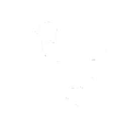 Clc1ccc(-n2cnnc2[C@H]2CC[C@H](Oc3ccccn3)CC2)cc1